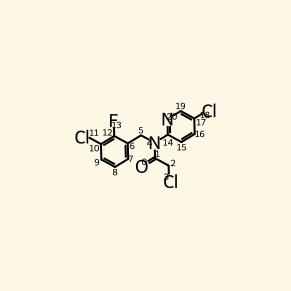 O=C(CCl)N(Cc1cccc(Cl)c1F)c1ccc(Cl)cn1